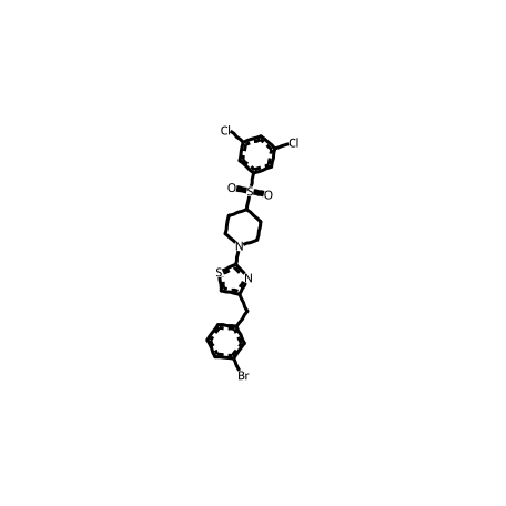 O=S(=O)(c1cc(Cl)cc(Cl)c1)C1CCN(c2nc(Cc3cccc(Br)c3)cs2)CC1